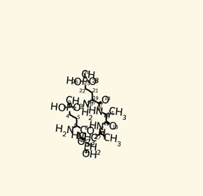 CP(=O)(O)CCC(N)C(=O)O.C[C@H](NC(=O)[C@H](C)NC(=O)[C@@H](N)CCP(C)(=O)O)C(=O)O.N.O=[PH2]O